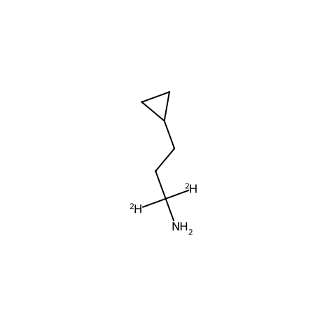 [2H]C([2H])(N)CCC1CC1